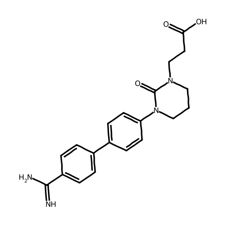 N=C(N)c1ccc(-c2ccc(N3CCCN(CCC(=O)O)C3=O)cc2)cc1